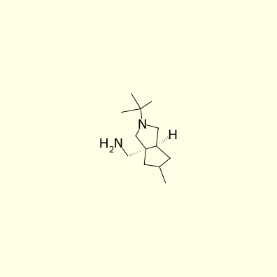 CC1C[C@@H]2CN(C(C)(C)C)C[C@]2(CN)C1